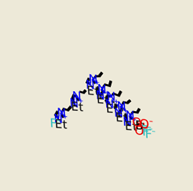 C=CCn1cc[n+](CC)c1.C=CCn1cc[n+](CC)c1.C=CCn1cc[n+](CC)c1.C=CCn1cc[n+](CC)c1.C=CCn1cc[n+](CC)c1.C=CCn1cc[n+](CC)c1.C=CCn1cc[n+](CC)c1.[F-].[F-].[F-].[F-].[O-]B([O-])[O-]